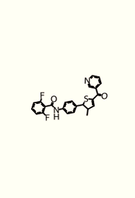 CC1C=C(C(=O)c2cccnc2)SC1c1ccc(NC(=O)c2c(F)cccc2F)cc1